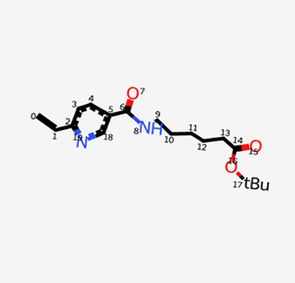 C=Cc1ccc(C(=O)NCCCCCC(=O)OC(C)(C)C)cn1